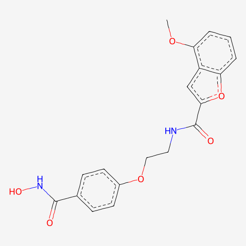 COc1cccc2oc(C(=O)NCCOc3ccc(C(=O)NO)cc3)cc12